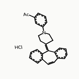 CC(=O)c1cccc(N2CCC(=C3c4ccccc4C=Cc4ccccc43)CC2)c1.Cl